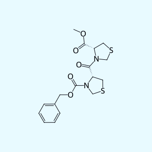 COC(=O)[C@@H]1CSCN1C(=O)[C@@H]1CSCN1C(=O)OCc1ccccc1